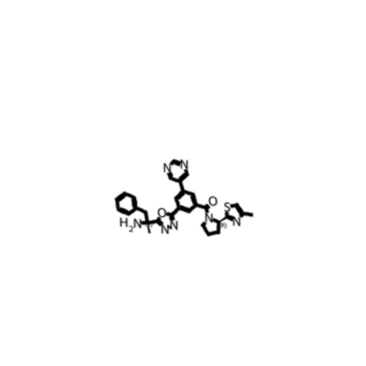 Cc1csc([C@H]2CCCN2C(=O)c2cc(-c3cncnc3)cc(-c3nnc([C@](C)(N)Cc4ccccc4)o3)c2)n1